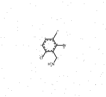 NCc1c(Cl)c[c]c(I)c1Br